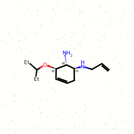 C=CCN[C@H]1CC=C[C@@H](OC(CC)CC)[C@@H]1N